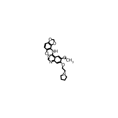 COc1cc2c(Nc3c(Cl)ccc4c3OCO4)ncnc2cc1OCCN1CCCC1